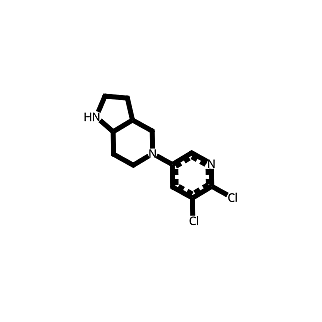 Clc1cc(N2CCC3NCCC3C2)cnc1Cl